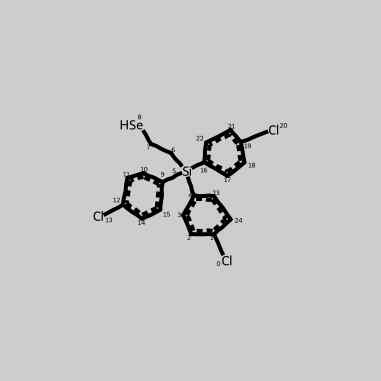 Clc1ccc([Si](CC[SeH])(c2ccc(Cl)cc2)c2ccc(Cl)cc2)cc1